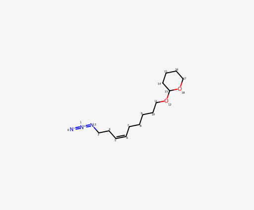 [N-]=[N+]=NCC/C=C\CCCCCOC1CCCCO1